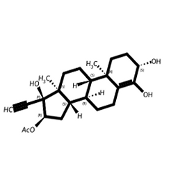 C#C[C@@]1(O)[C@H](OC(C)=O)C[C@H]2[C@@H]3CCC4=C(O)[C@@H](O)CC[C@]4(C)[C@H]3CC[C@@]21C